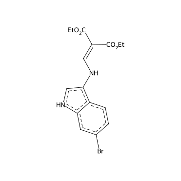 CCOC(=O)C(=CNc1c[nH]c2cc(Br)ccc12)C(=O)OCC